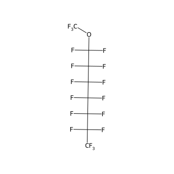 FC(F)(F)OC(F)(F)C(F)(F)C(F)(F)C(F)(F)C(F)(F)C(F)(F)C(F)(F)F